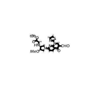 CO[C@@H]1CN(c2ccc3c(=O)c(C=O)cn(-c4nccs4)c3n2)C[C@H]1NCC(=O)OC(C)(C)C